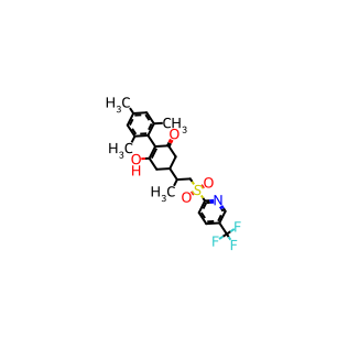 Cc1cc(C)c(C2=C(O)CC(C(C)CS(=O)(=O)c3ccc(C(F)(F)F)cn3)CC2=O)c(C)c1